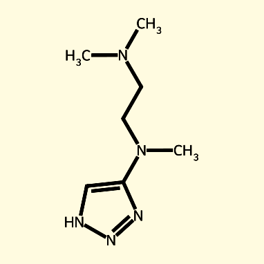 CN(C)CCN(C)c1c[nH]nn1